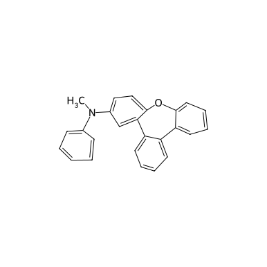 CN(c1ccccc1)c1ccc2c(c1)-c1ccccc1-c1ccccc1O2